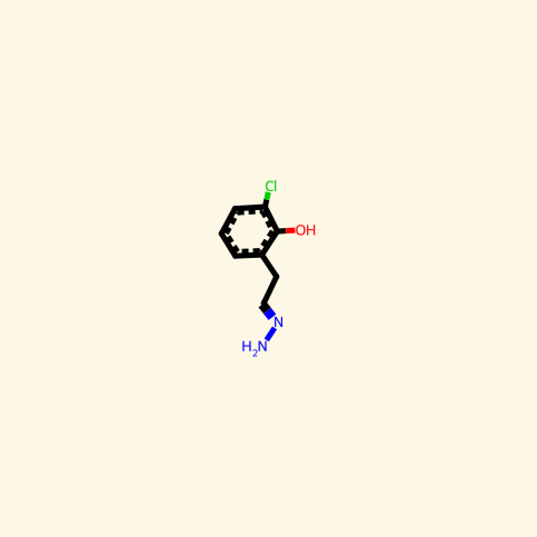 NN=CCc1cccc(Cl)c1O